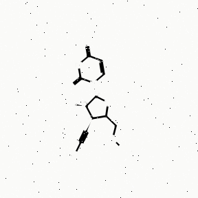 COCC1O[C@@H](n2ccc(=O)[nH]c2=O)[C@H](O)[C@@H]1C#CO